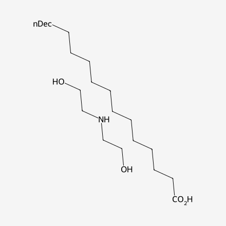 CCCCCCCCCCCCCCCCCCCCCC(=O)O.OCCNCCO